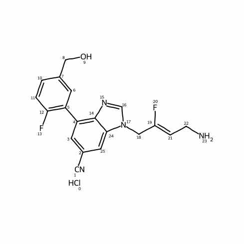 Cl.N#Cc1cc(-c2cc(CO)ccc2F)c2ncn(C/C(F)=C/CN)c2c1